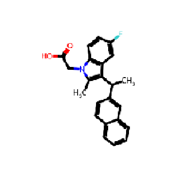 Cc1c(C(C)c2ccc3ccccc3c2)c2cc(F)ccc2n1CC(=O)O